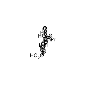 CC(C)C1=C2[C@@]([C@@H](O)CNCc3ccccn3)(CC[C@]3(C)[C@]2(C)CC[C@@H]2[C@@]4(C)CC[C@H](OC(=O)CC(C)(C)C(=O)O)C(C)(C)[C@@H]4CC[C@]23C)CC1=O